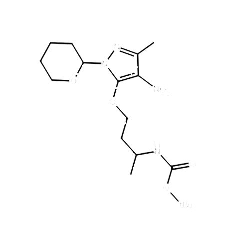 Cc1nn(C2CCCCO2)c(OCCC(C)NC(=O)OC(C)(C)C)c1[N+](=O)[O-]